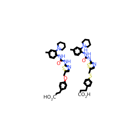 Cc1ccc(NC(=O)Nc2ncc(COc3ccc(CCC(=O)O)cc3)s2)c(N2CCCCC2)c1.Cc1ccc(NC(=O)Nc2ncc(CSc3ccc(CCC(=O)O)cc3)s2)c(N2CCCCC2)c1